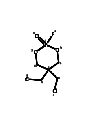 O=P1(F)OCC(CCl)(CCl)CO1